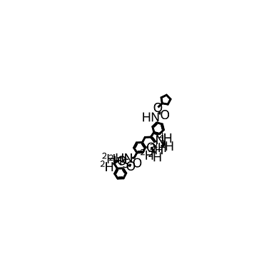 [2H]C([2H])([2H])Oc1cc(C(=O)NS(=O)(=O)c2ccccc2C([2H])([2H])[2H])ccc1Cc1cn(C([2H])([2H])[2H])c2ccc(NC(=O)OC3CCCC3)cc12